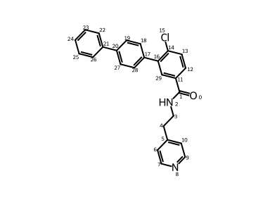 O=C(NCCc1ccncc1)c1ccc(Cl)c(-c2ccc(-c3ccccc3)cc2)c1